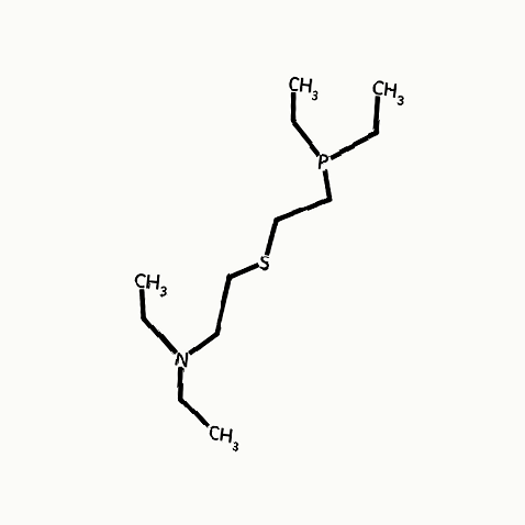 CCN(CC)CCSCCP(CC)CC